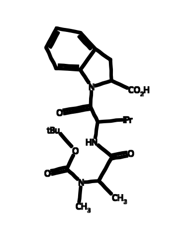 CC(C)C(NC(=O)C(C)N(C)C(=O)OC(C)(C)C)C(=O)N1c2ccccc2CC1C(=O)O